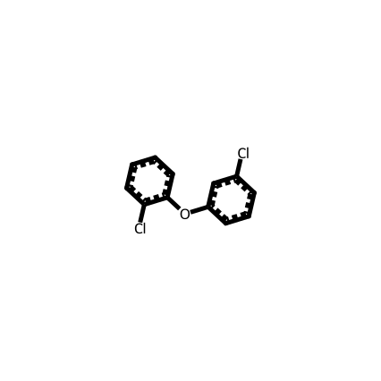 Clc1cccc(Oc2ccccc2Cl)c1